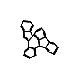 C1=C(c2ccccc2C2c3ccccc3-c3ccccc32)Cc2ccccc21